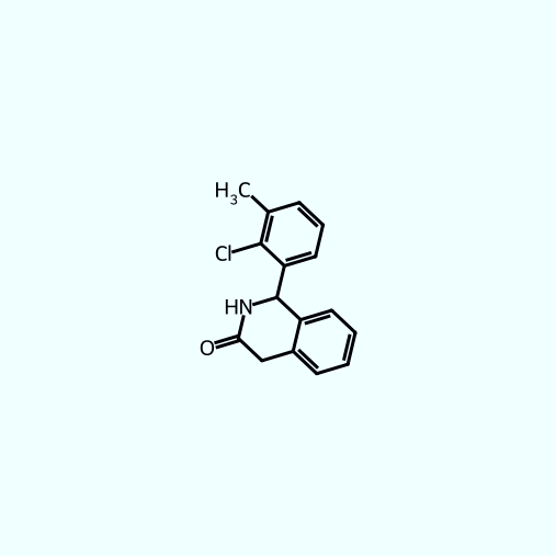 Cc1cccc(C2NC(=O)Cc3ccccc32)c1Cl